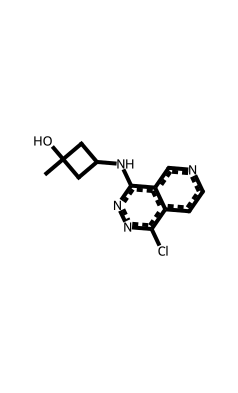 CC1(O)CC(Nc2nnc(Cl)c3ccncc23)C1